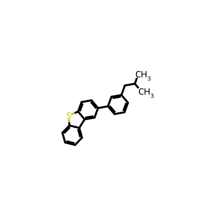 CC(C)Cc1cccc(-c2ccc3sc4ccccc4c3c2)c1